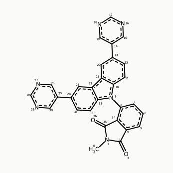 CN1C(=O)c2cccc(-n3c4ccc(-c5cncnc5)cc4c4cc(-c5cncnc5)ccc43)c2C1=O